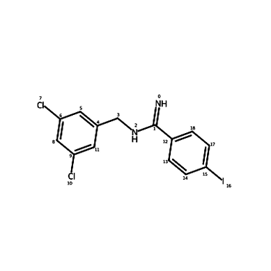 N=C(NCc1cc(Cl)cc(Cl)c1)c1ccc(I)cc1